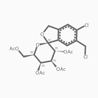 CC(=O)OC[C@H]1O[C@]2(OCc3cc(Cl)c(CCl)cc32)[C@H](OC(C)=O)[C@@H](OC(C)=O)[C@H]1OC(C)=O